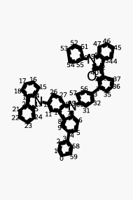 c1ccc(-c2ccc3c(c2)c2cc(-n4c5ccccc5c5ccccc54)ccc2n3-c2ccc(-c3cccc4c3oc3c4c4ccccc4n3-c3ccccc3)cc2)cc1